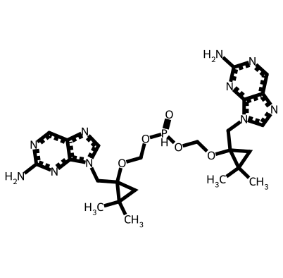 CC1(C)CC1(Cn1cnc2cnc(N)nc21)OCO[PH](=O)OCOC1(Cn2cnc3cnc(N)nc32)CC1(C)C